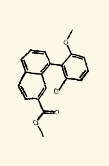 COC(=O)c1ccc2cccc(-c3c(Cl)cccc3OC)c2c1